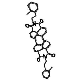 Cc1ccccc1CCN1C(=O)c2ccc3c4ccc5c6c(ccc(c7ccc(c2c37)C1=O)c64)C(=O)N(CCc1ccccc1C)C5=O